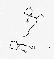 CC(CSSCC(C)[N+]1([O-])CCCC1)[N+]1([O-])CCCC1